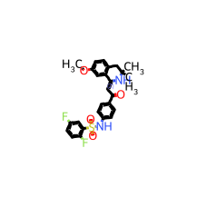 COc1ccc2c(c1)/C(=C/C(=O)c1ccc(NS(=O)(=O)c3cc(F)ccc3F)cc1)NC(C)(C)C2